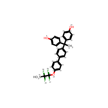 CC(c1ccc(O)cc1)(c1ccc(O)cc1)c1ccc(-c2ccc(OC(F)(F)C(F)(F)S(=O)(=O)O)cc2)cc1